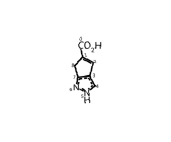 O=C(O)C1=Cc2c[nH]nc2C1